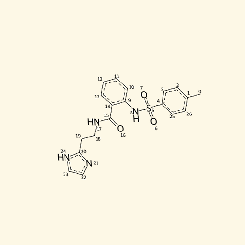 Cc1ccc(S(=O)(=O)Nc2ccccc2C(=O)NCCc2ncc[nH]2)cc1